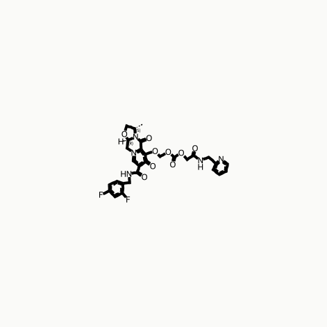 C[C@H]1CO[C@@H]2Cn3cc(C(=O)NCc4ccc(F)cc4F)c(=O)c(OCOC(=O)OCC(=O)NCc4ccccn4)c3C(=O)N12